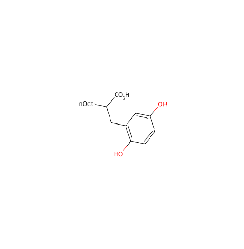 CCCCCCCCC(Cc1cc(O)ccc1O)C(=O)O